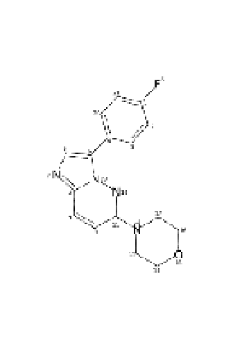 Fc1ccc(-c2cnc3ccc(N4CCOCC4)nn23)cc1